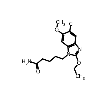 CCOc1nc2cc(Cl)c(OC)cc2n1CCCCC(N)=O